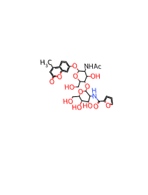 CC(=O)N[C@H]1C(O)[C@H](O[C@@H]2OC(CO)[C@H](O)C(O)[C@@H]2NC(=O)c2ccco2)C(CO)O[C@H]1Oc1ccc2c(C)cc(=O)oc2c1